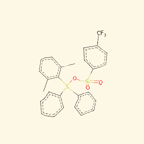 Cc1cccc(C)c1S(OS(=O)(=O)c1ccc(C(F)(F)F)cc1)(c1ccccc1)c1ccccc1